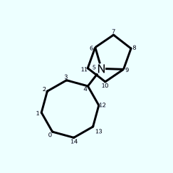 C1CCCC(N2C3CCC2CC3)CCC1